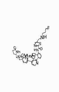 COc1nc(-c2ccnc(-c3cccc(NC(=O)c4ncc(CNCCCF)s4)c3Cl)c2Cl)ccc1CNC[C@H]1CCC(=O)N1